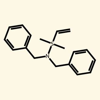 C=CS(C)(C)N(Cc1ccccc1)Cc1ccccc1